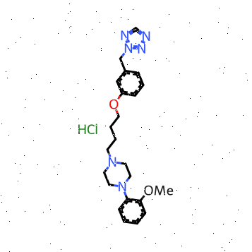 COc1ccccc1N1CCN(CCCCOc2cccc(Cn3ncnn3)c2)CC1.Cl